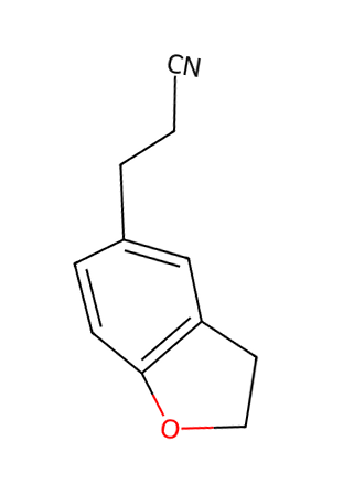 N#CCCc1ccc2c(c1)CCO2